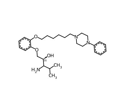 CC(C)C(N)[C@H](O)COc1ccccc1OCCCCCCN1CCN(c2ccccc2)CC1